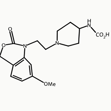 COc1ccc2c(c1)N(CCN1CCC(NC(=O)O)CC1)C(=O)OC2